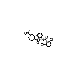 CC(=O)N1CCCC2=C(C1)c1cccc(NC(=O)c3c(Cl)cccc3Cl)c1C2=O